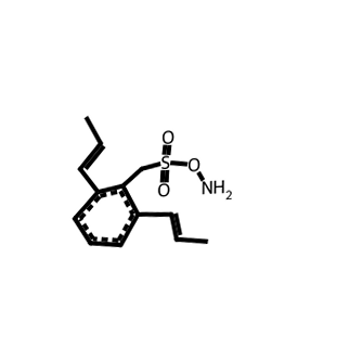 CC=Cc1cccc(C=CC)c1CS(=O)(=O)ON